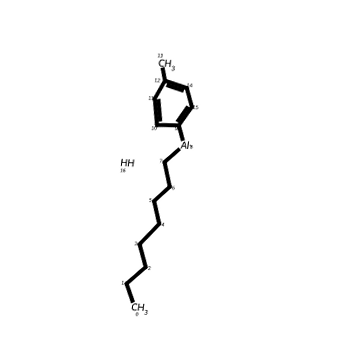 CCCCCCC[CH2][Al][c]1ccc(C)cc1.[HH]